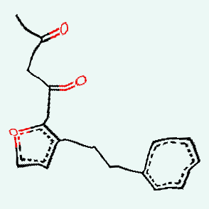 CC(=O)CC(=O)c1occc1CCc1ccccc1